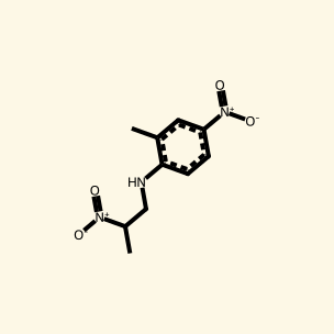 Cc1cc([N+](=O)[O-])ccc1NCC(C)[N+](=O)[O-]